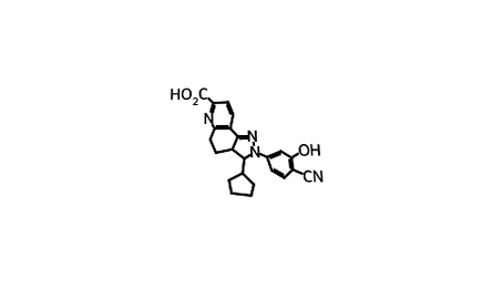 N#Cc1ccc(N2N=C3c4ccc(C(=O)O)nc4CCC3C2C2CCCC2)cc1O